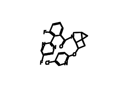 O=C(c1cccc(F)c1-c1ncc(F)cn1)N1CC2CC23CC(Oc2ccc(Cl)cn2)C13